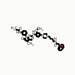 C=CC(=O)Nc1cccc(-n2c(=O)cc(C)c3cnc(Nc4ccc(N5CCN(CCCCNC(=O)CC67CC8CC(CC(C8)C6)C7)CC5)cc4OC)nc32)c1